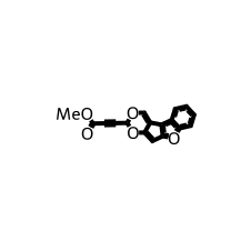 COC(=O)C#CC1OC=C2C(=Cc3oc4ccccc4c32)O1